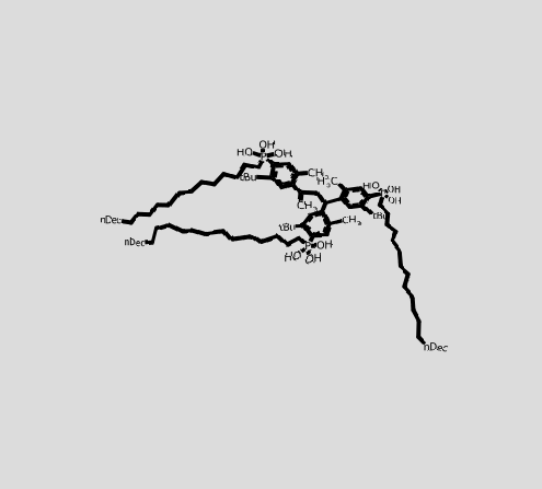 CCCCCCCCCCCCCCCCCCCCCCCP(O)(O)(O)c1cc(C)c(C(C)CC(c2cc(C(C)(C)C)c(P(O)(O)(O)CCCCCCCCCCCCCCCCCCCCCCC)cc2C)c2cc(C(C)(C)C)c(P(O)(O)(O)CCCCCCCCCCCCCCCCCCCCCCC)cc2C)cc1C(C)(C)C